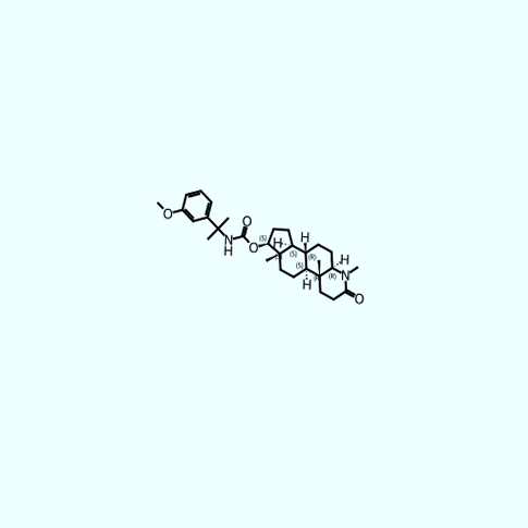 COc1cccc(C(C)(C)NC(=O)O[C@H]2CC[C@H]3[C@@H]4CC[C@H]5N(C)C(=O)CC[C@]5(C)[C@H]4CC[C@]23C)c1